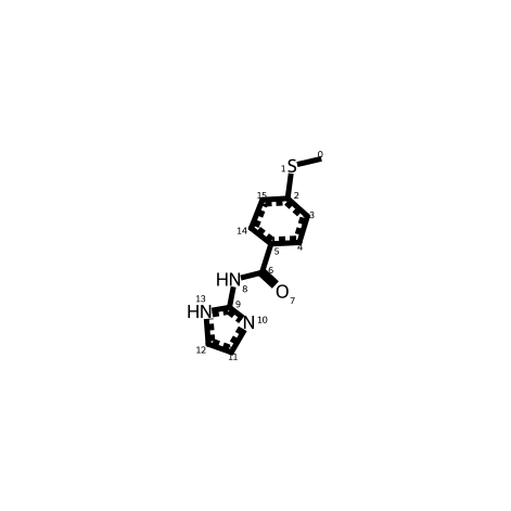 CSc1ccc(C(=O)Nc2ncc[nH]2)cc1